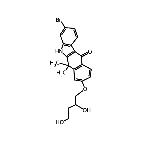 CC1(C)c2cc(OCC(O)CCO)ccc2C(=O)c2c1[nH]c1cc(Br)ccc21